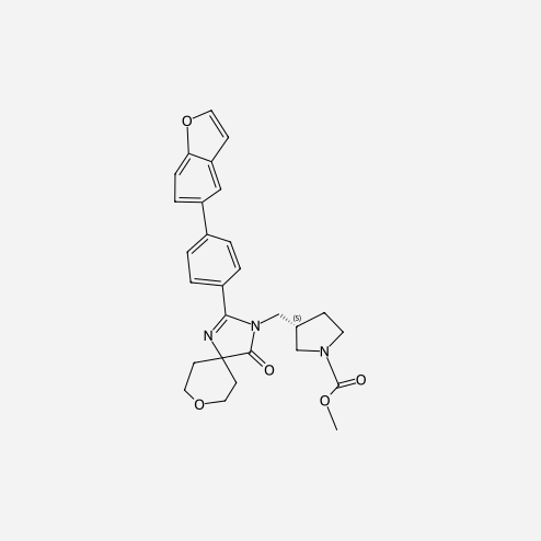 COC(=O)N1CC[C@@H](CN2C(=O)C3(CCOCC3)N=C2c2ccc(-c3ccc4occc4c3)cc2)C1